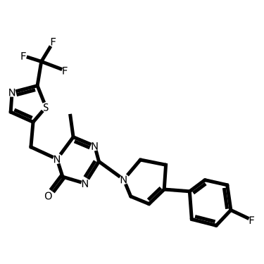 Cc1nc(N2CC=C(c3ccc(F)cc3)CC2)nc(=O)n1Cc1cnc(C(F)(F)F)s1